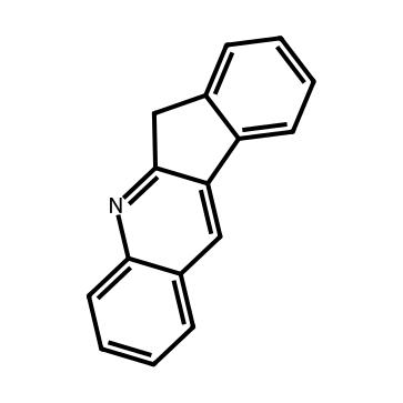 c1ccc2c(c1)Cc1nc3ccccc3cc1-2